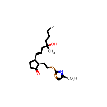 CC(C)CCCC(C)(O)C/C=C/[C@@H]1CCC(=O)[C@@H]1CCSc1nc(C(=O)O)cs1